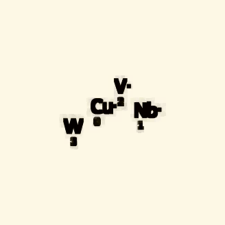 [Cu].[Nb].[V].[W]